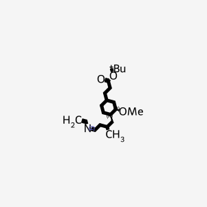 C=C/N=C\CC(C)C[C@H]1CCC(CCC(=O)OC(C)(C)C)C[C@H]1OC